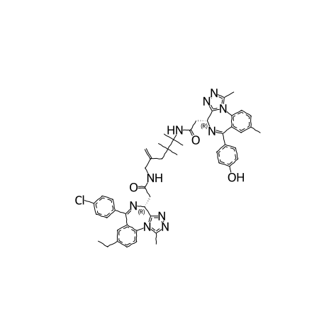 C=C(CNC(=O)C[C@H]1N=C(c2ccc(Cl)cc2)c2cc(CC)ccc2-n2c(C)nnc21)CC(C)(C)C(C)(C)NC(=O)C[C@H]1N=C(c2ccc(O)cc2)c2cc(C)ccc2-n2c(C)nnc21